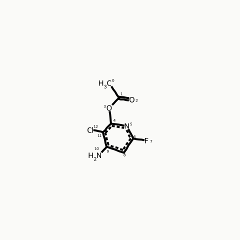 CC(=O)Oc1nc(F)cc(N)c1Cl